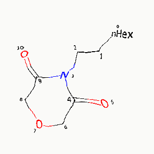 CCCCCCCCN1C(=O)COCC1=O